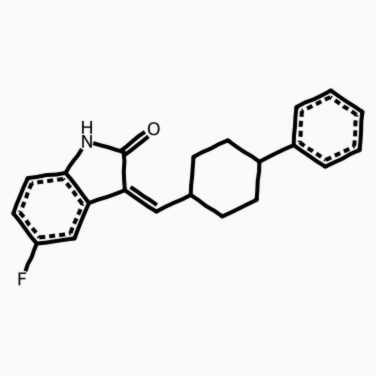 O=C1Nc2ccc(F)cc2C1=CC1CCC(c2ccccc2)CC1